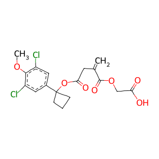 C=C(CC(=O)OC1(c2cc(Cl)c(OC)c(Cl)c2)CCC1)C(=O)OCC(=O)O